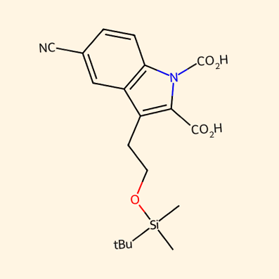 CC(C)(C)[Si](C)(C)OCCc1c(C(=O)O)n(C(=O)O)c2ccc(C#N)cc12